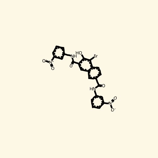 O=C(Nc1cccc([N+](=O)[O-])c1)c1ccc2c(Br)c(O)c(C(=O)Nc3cccc([N+](=O)[O-])c3)cc2c1